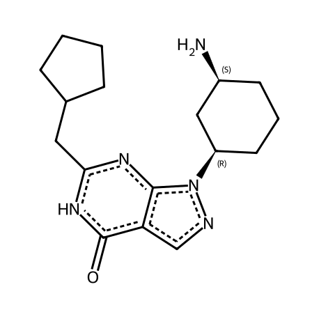 N[C@H]1CCC[C@@H](n2ncc3c(=O)[nH]c(CC4CCCC4)nc32)C1